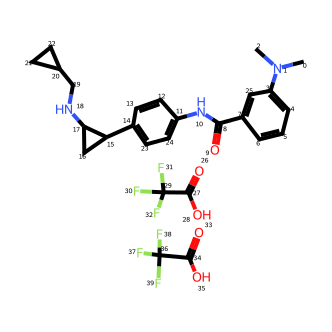 CN(C)c1cccc(C(=O)Nc2ccc(C3CC3NCC3CC3)cc2)c1.O=C(O)C(F)(F)F.O=C(O)C(F)(F)F